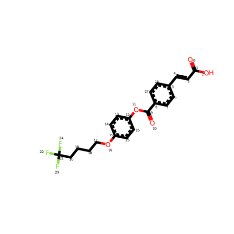 O=C(O)C=Cc1ccc(C(=O)Oc2ccc(OCCCCC(F)(F)F)cc2)cc1